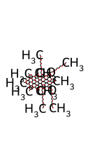 CCCCCCCCCCOC1=CC2c3c(c4c5c6c7c8c9c%10c%11c%12c%13c%14c%15c%16c%17c(c%18c(OCCCCCCCCCC)cc2c(c9c36)c%18c%10c%17%13)C(C)=CC%16c2cc(C)cc3c2C=%15C2c6c-3cc(C)cc6-c3cc(C)cc6c3C2C=%14C2=C6C=C(C)C(C3=C%11C8C(C=C3OCCCCCCCCCC)c3cc(OCCCCCCCCCC)cc(c3-7)C5C=C(C)C=4)C2%12)C1